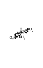 Cc1cc(NN=Cc2cccc([N+](=O)[O-])c2)nc2ccc([N+](=O)[O-])cc12